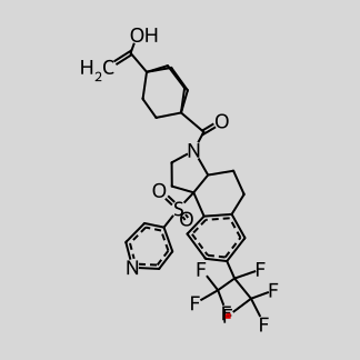 C=C(O)C12CCC(C(=O)N3CCC4(S(=O)(=O)c5ccncc5)c5ccc(C(F)(C(F)(F)F)C(F)(F)F)cc5CCC34)(CC1)CC2